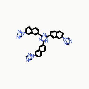 c1ncn(-c2ccc3ccc(-c4nc(-c5ccc6ccc(-n7cncn7)cc6c5)nc(-c5ccc6ccc(-n7cncn7)cc6c5)n4)cc3c2)n1